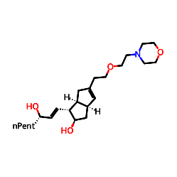 CCCCC[C@H](O)/C=C/[C@@H]1[C@H]2CC(CCOCCN3CCOCC3)=C[C@H]2C[C@H]1O